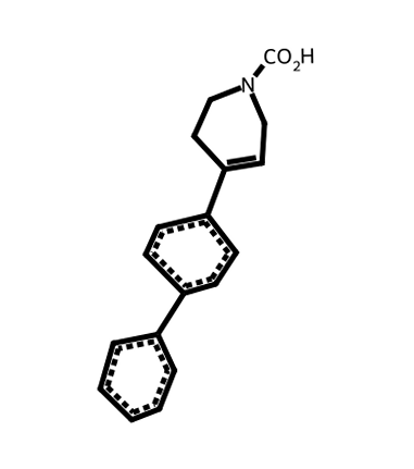 O=C(O)N1CC=C(c2ccc(-c3ccccc3)cc2)CC1